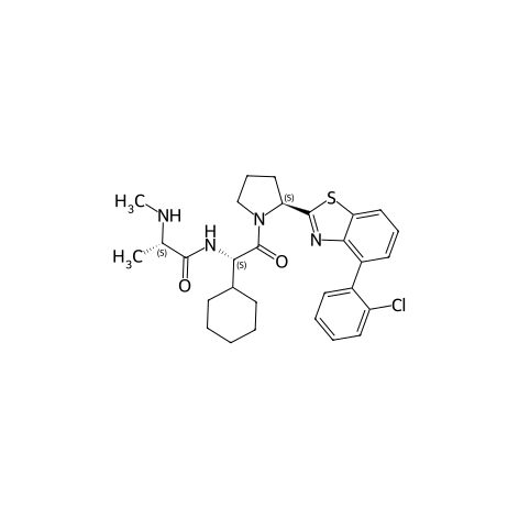 CN[C@@H](C)C(=O)N[C@H](C(=O)N1CCC[C@H]1c1nc2c(-c3ccccc3Cl)cccc2s1)C1CCCCC1